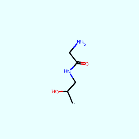 [CH2]C(O)CNC(=O)CN